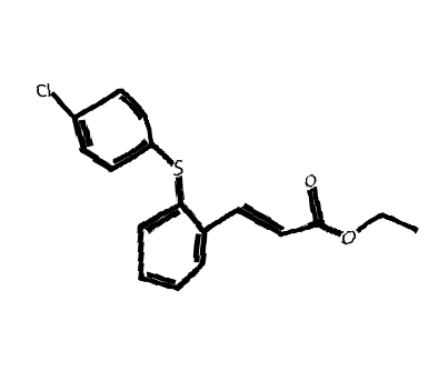 CCOC(=O)C=Cc1ccccc1Sc1ccc(Cl)cc1